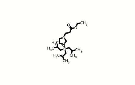 CCOC(=O)CCN1CCN([Si](CC(C)C)(CC(C)C)CC(C)C)C1